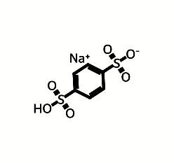 O=S(=O)([O-])c1ccc(S(=O)(=O)O)cc1.[Na+]